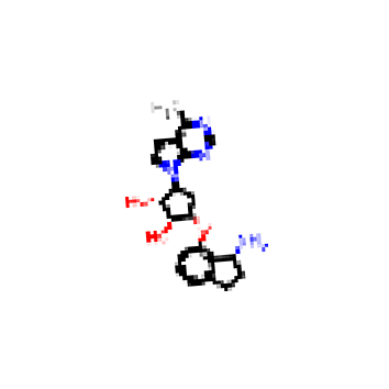 Cc1ncnc2c1ccn2C1CC(Oc2cccc3c2[C@@H](N)CC3)[C@@H](O)[C@H]1O